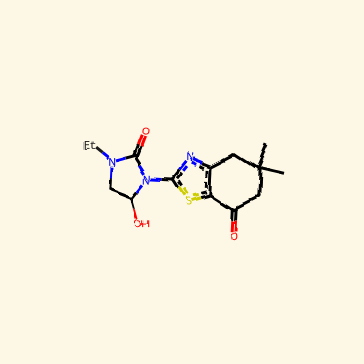 CCN1CC(O)N(c2nc3c(s2)C(=O)CC(C)(C)C3)C1=O